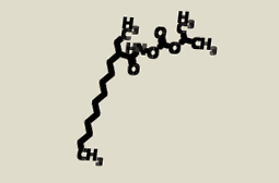 CCCCCCCCCCC(CC)C(=O)NOC(=O)OC(C)C